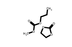 CCCOC(=O)OC.O=C1OCCO1